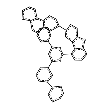 c1ccc(-c2cccc(-c3cc(-c4ccccc4)nc(-c4cccc5oc6ccc(-c7ccc8c(ccc9ccccc98)c7)cc6c45)n3)c2)cc1